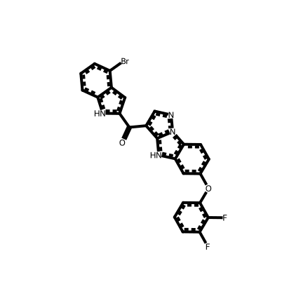 O=C(c1cc2c(Br)cccc2[nH]1)c1cnn2c1[nH]c1cc(Oc3cccc(F)c3F)ccc12